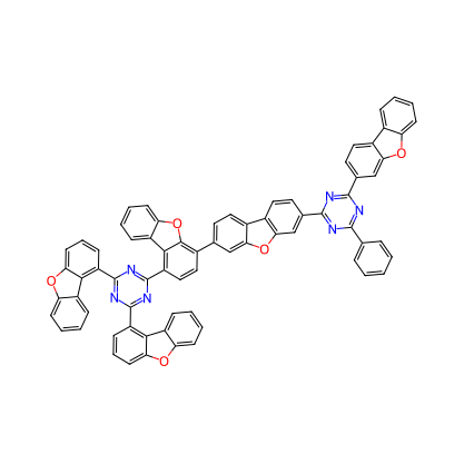 c1ccc(-c2nc(-c3ccc4c(c3)oc3ccccc34)nc(-c3ccc4c(c3)oc3cc(-c5ccc(-c6nc(-c7cccc8oc9ccccc9c78)nc(-c7cccc8oc9ccccc9c78)n6)c6c5oc5ccccc56)ccc34)n2)cc1